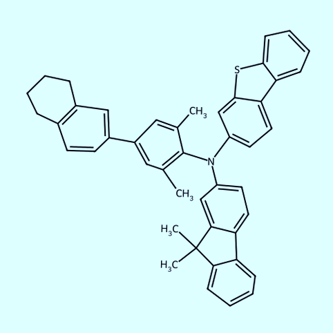 Cc1cc(-c2ccc3c(c2)CCCC3)cc(C)c1N(c1ccc2c(c1)C(C)(C)c1ccccc1-2)c1ccc2c(c1)sc1ccccc12